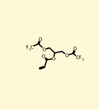 C=CC(=O)OC(COC(=O)C(F)(F)F)COC(=O)C(F)(F)F